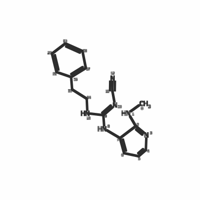 CNc1ncccc1NC(=NC#N)NCCc1ccccc1